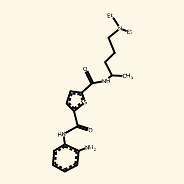 CCN(CC)CCCC(C)NC(=O)c1ccc(C(=O)Nc2ccccc2N)s1